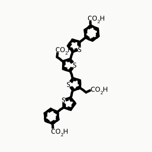 O=C(O)Cc1cc(-c2cc(CC(=O)O)c(-c3ccc(-c4cccc(C(=O)O)c4)s3)s2)sc1-c1ccc(-c2cccc(C(=O)O)c2)s1